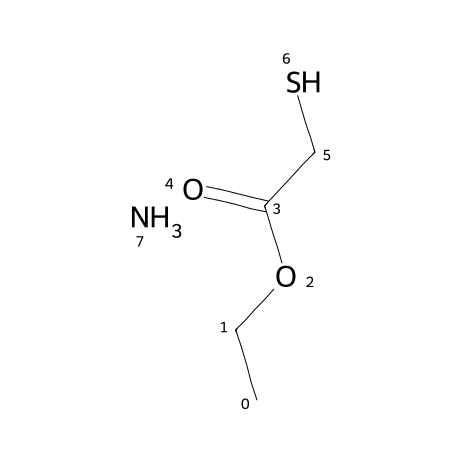 CCOC(=O)CS.N